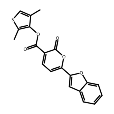 Cc1csc(C)c1OC(=O)c1ccc(-c2cc3ccccc3o2)oc1=O